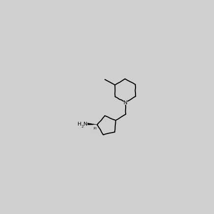 CC1CCCN(CC2CC[C@@H](N)C2)C1